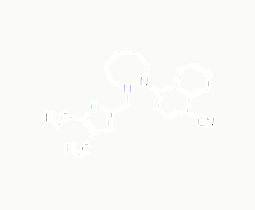 Cc1cc(CN2CCCCCN2c2ccc(C#N)c3ccccc23)oc1C